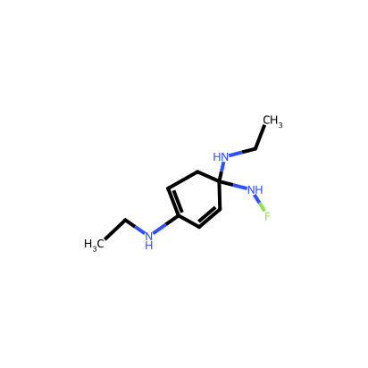 CCNC1=CCC(NF)(NCC)C=C1